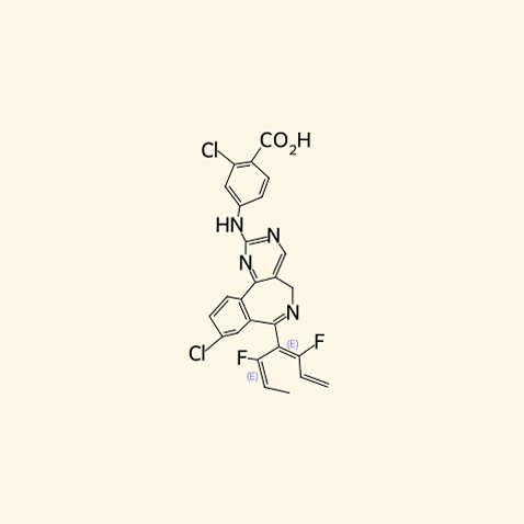 C=C/C(F)=C(C1=NCc2cnc(Nc3ccc(C(=O)O)c(Cl)c3)nc2-c2ccc(Cl)cc21)\C(F)=C/C